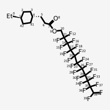 CC[C@H]1CC[C@H](CCC(=O)OCC(F)(F)C(F)(F)C(F)(F)C(F)(F)C(F)(F)C(F)(F)C(F)(F)C(F)(F)C(F)(F)C(F)F)CC1